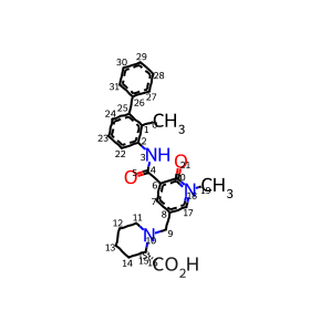 Cc1c(NC(=O)c2cc(CN3CCCC[C@H]3C(=O)O)cn(C)c2=O)cccc1-c1ccccc1